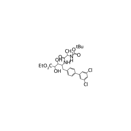 CCOC(=O)C(O)C(O)C(Cc1ccc(-c2cc(Cl)cc(Cl)c2)cc1)NC(=O)C(C)NC(=O)OC(C)(C)C